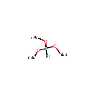 CCCC[O][Sn]([CH2]C)([O]CCCC)[O]CCCC